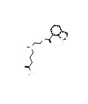 CN(CCCC(=O)NO)CCNC(=O)c1cccc2cn[nH]c12